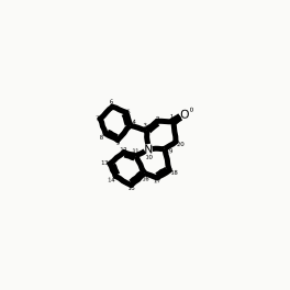 O=C1C=C(C2=CCCC=C2)N2c3ccccc3C=CC2C1